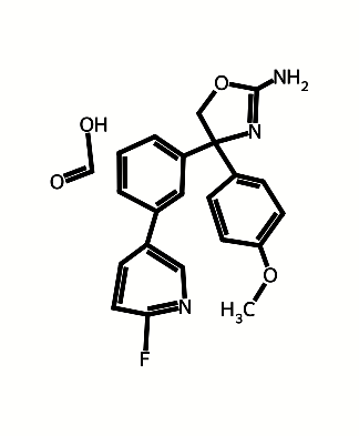 COc1ccc(C2(c3cccc(-c4ccc(F)nc4)c3)COC(N)=N2)cc1.O=CO